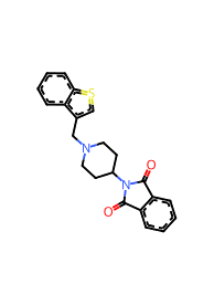 O=C1c2ccccc2C(=O)N1C1CCN(Cc2csc3ccccc23)CC1